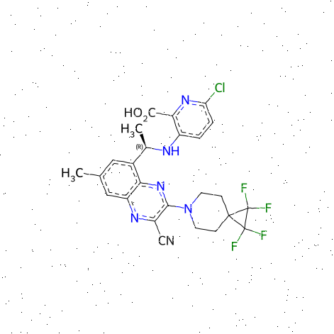 Cc1cc([C@@H](C)Nc2ccc(Cl)nc2C(=O)O)c2nc(N3CCC4(CC3)C(F)(F)C4(F)F)c(C#N)nc2c1